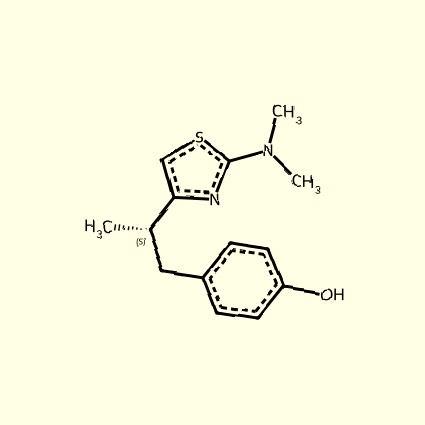 C[C@@H](Cc1ccc(O)cc1)c1csc(N(C)C)n1